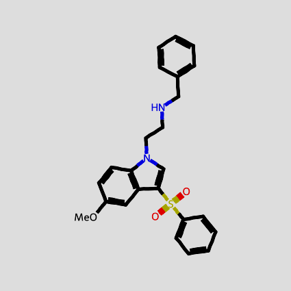 COc1ccc2c(c1)c(S(=O)(=O)c1ccccc1)cn2CCNCc1ccccc1